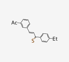 CCc1ccc(C(=S)C=Cc2cccc(C(C)=O)c2)cc1